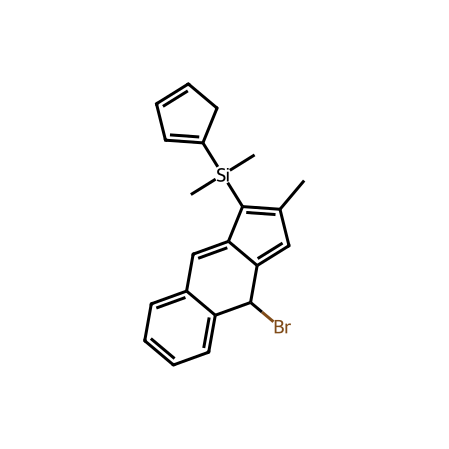 CC1=C([Si](C)(C)C2=CC=CC2)C2=Cc3ccccc3C(Br)C2=C1